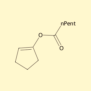 CCCCCC(=O)OC1=CCCC1